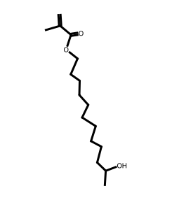 C=C(C)C(=O)OCCCCCCCCCCC(C)O